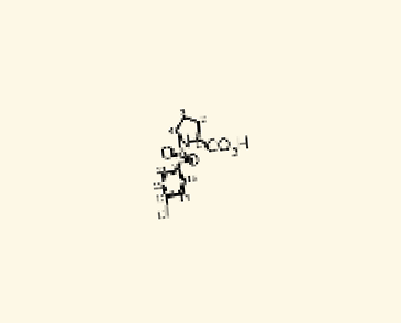 O=C(O)C1CCCN1S(=O)(=O)c1ccc(I)cc1